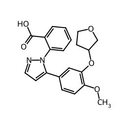 COc1ccc(-c2ccnn2-c2ccccc2C(=O)O)cc1OC1CCOC1